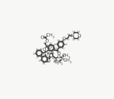 CC(=O)OCC(=O)OP(c1ccccc1)(c1ccccc1)(c1ccccc1)N1C(=O)[C@H]([C@@H](C)O[Si](C)(C)C)[C@H]1CC(=O)c1ccc(OCCN2CCOCC2)cc1